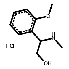 CNC(CO)c1ccccc1OC.Cl